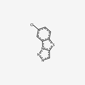 Clc1ccc2sc3cnnn3c2c1